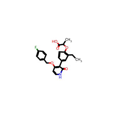 CCc1cc(-c2c(OCc3ccc(F)cc3)cc[nH]c2=O)ccc1OC(C)C(=O)O